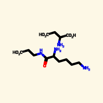 NC(CC(=O)O)C(=O)O.NCCCCC(N)C(=O)NCCC(=O)O